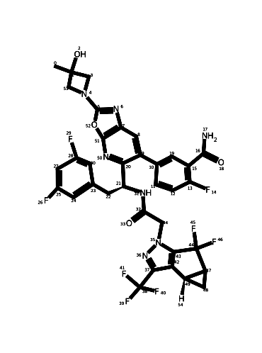 CC1(O)CN(c2nc3cc(-c4ccc(F)c(C(N)=O)c4)c([C@H](Cc4cc(F)cc(F)c4)NC(=O)Cn4nc(C(F)(F)F)c5c4C(F)(F)C4C[C@H]54)nc3o2)C1